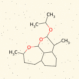 CC(C)OC1OC2OC(C)CCC3CCCC(C1C)C32